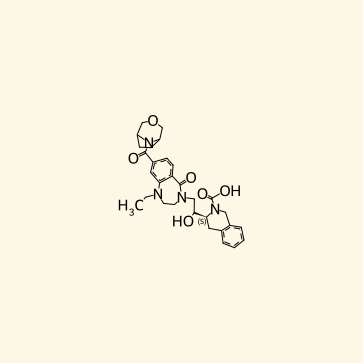 CCN1CCN(CC(O)[C@@H]2Cc3ccccc3CN2C(=O)O)C(=O)c2ccc(C(=O)N3C4CCC3COC4)cc21